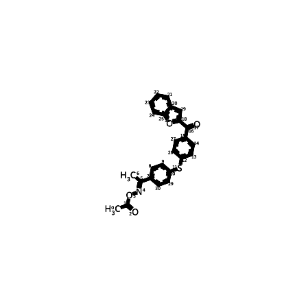 CC(=O)ON=C(C)c1ccc(Sc2ccc(C(=O)c3cc4ccccc4o3)cc2)cc1